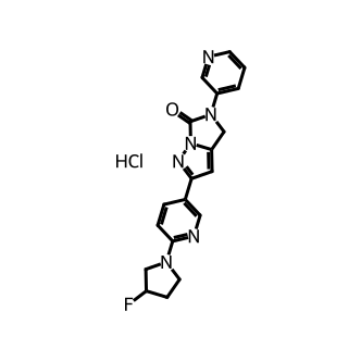 Cl.O=C1N(c2cccnc2)Cc2cc(-c3ccc(N4CCC(F)C4)nc3)nn21